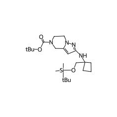 CC(C)(C)OC(=O)N1CCn2nc(NC3(CO[Si](C)(C)C(C)(C)C)CCC3)cc2C1